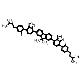 CC(C)CCc1ccc(-c2ccc(-c3ccc4c(c3)C(C)(C)c3cc(-c5ccc(-c6ccc(CCC(C)C)cc6F)c6nsnc56)ccc3-4)c3nsnc23)c(F)c1